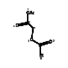 CCC(=O)OCC(=O)OC(C)=O